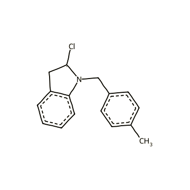 Cc1ccc(CN2[C](Cl)Cc3ccccc32)cc1